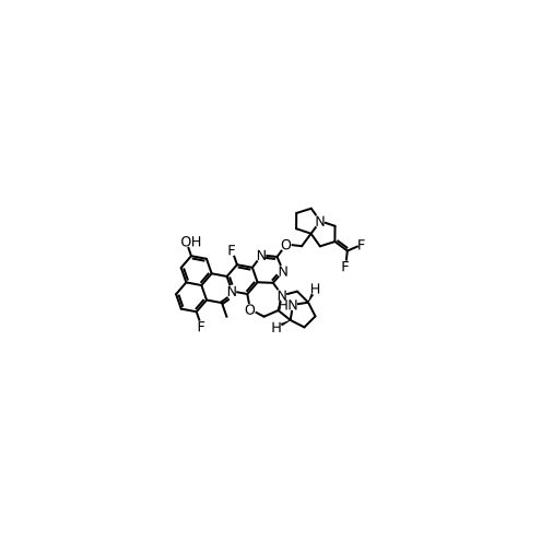 C=C(C)c1c(F)ccc2cc(O)cc(-c3nc4c5c(nc(OCC67CCCN6CC(=C(F)F)C7)nc5c3F)N3C[C@@H]5CC[C@@H](N5)C3CO4)c12